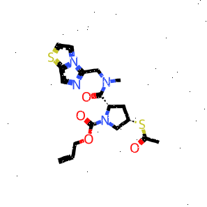 C=CCOC(=O)N1C[C@@H](SC(C)=O)C[C@H]1C(=O)N(C)Cc1ncc2sccn12